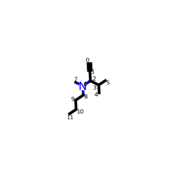 C#CC(C(C)C)N(C)CCCC